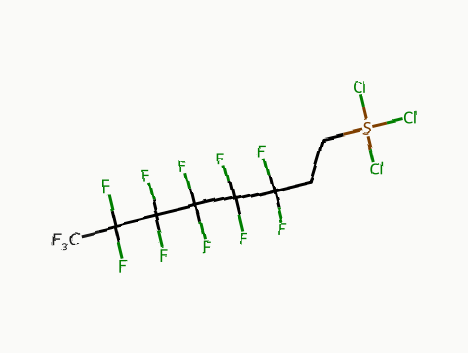 FC(F)(F)C(F)(F)C(F)(F)C(F)(F)C(F)(F)C(F)(F)CCS(Cl)(Cl)Cl